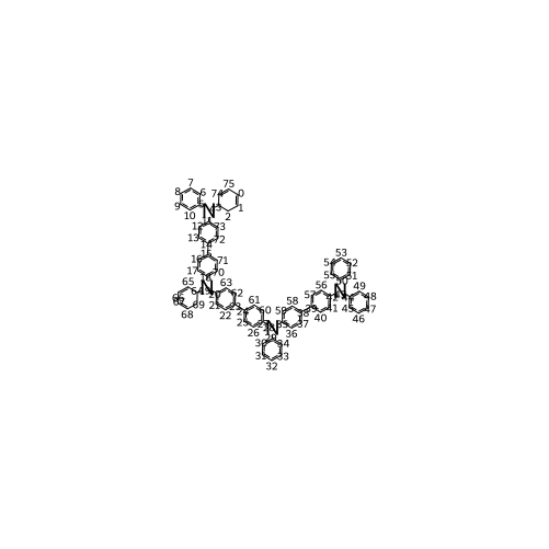 C1=CCC(N(c2ccccc2)c2ccc(-c3ccc(N(c4ccc(-c5ccc(N(c6ccccc6)c6ccc(-c7ccc(N(c8ccccc8)c8ccccc8)cc7)cc6)cc5)cc4)C4C=CC=CC4)cc3)cc2)C=C1